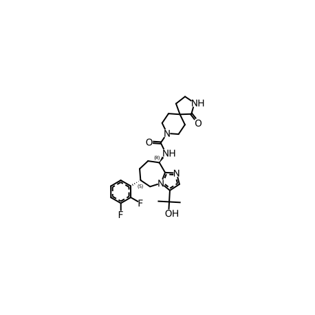 CC(C)(O)c1cnc2n1C[C@H](c1cccc(F)c1F)CC[C@H]2NC(=O)N1CCC2(CCNC2=O)CC1